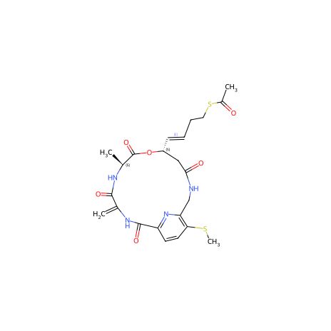 C=C1NC(=O)c2ccc(SC)c(n2)CNC(=O)C[C@@H](/C=C/CCSC(C)=O)OC(=O)[C@H](C)NC1=O